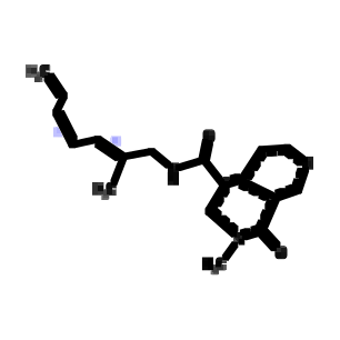 C=C/C=C\C=C(/C)CNC(=O)c1cn(C)c(=O)c2cnccc12